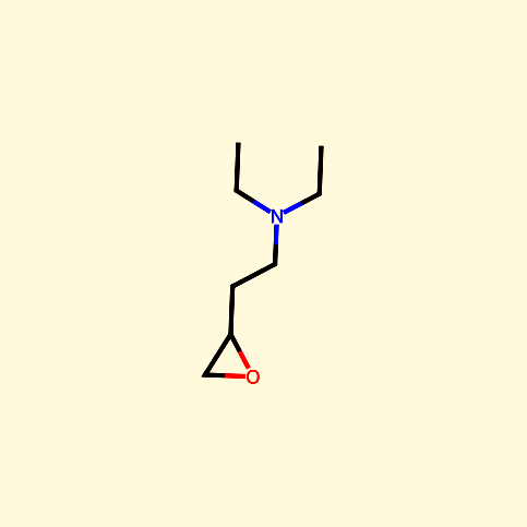 CCN(CC)CCC1CO1